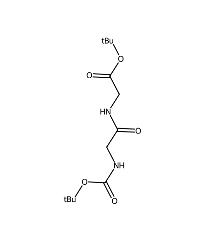 CC(C)(C)OC(=O)CNC(=O)CNC(=O)OC(C)(C)C